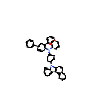 C1=CC(N(c2ccc(-n3c4ccccc4c4c5ccccc5ccc43)cc2)c2ccc(-c3ccccc3)cc2-c2ccccc2)=CCC1